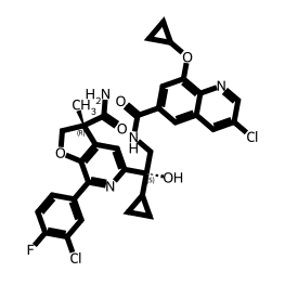 C[C@]1(C(N)=O)COc2c1cc([C@@](O)(CNC(=O)c1cc(OC3CC3)c3ncc(Cl)cc3c1)C1CC1)nc2-c1ccc(F)c(Cl)c1